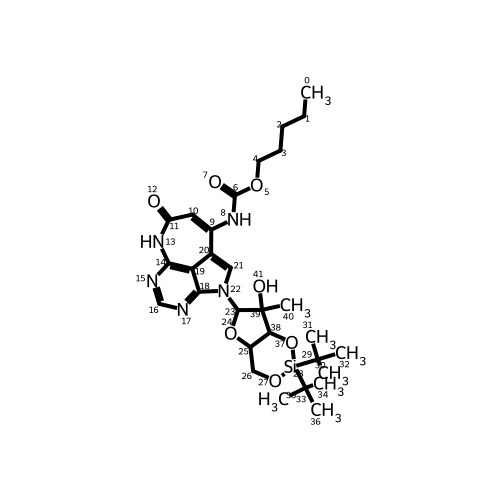 CCCCCOC(=O)NC1=CC(=O)Nc2ncnc3c2c1cn3C1OC2CO[Si](C(C)(C)C)(C(C)(C)C)OC2C1(C)O